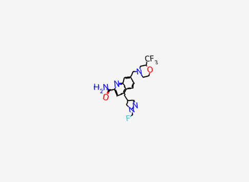 NC(=O)c1cc(C2C=NN(CF)C2)c2ccc(CN3CCOC(C(F)(F)F)C3)cc2n1